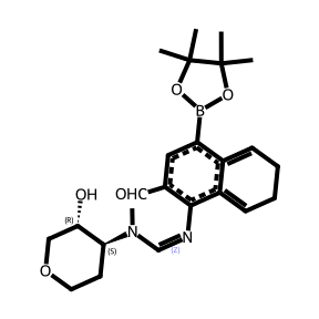 CN(/C=N\c1c(C=O)cc(B2OC(C)(C)C(C)(C)O2)c2c1=CCCC=2)[C@H]1CCOC[C@@H]1O